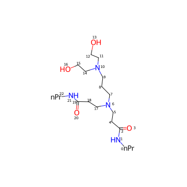 CCCNC(=O)CCN(CCCN(CCO)CCO)CCC(=O)NCCC